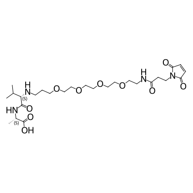 CC(C)[C@H](NCCCOCCOCCOCCOCCNC(=O)CCN1C(=O)C=CC1=O)C(=O)N[C@@H](C)C(=O)O